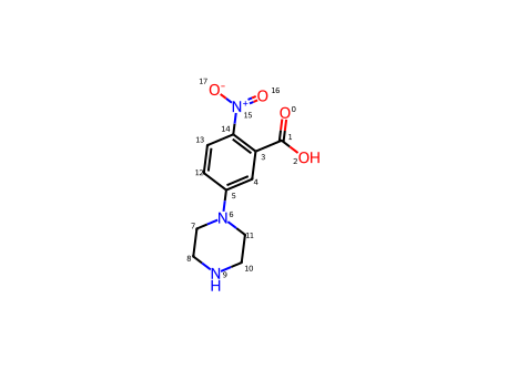 O=C(O)c1cc(N2CCNCC2)ccc1[N+](=O)[O-]